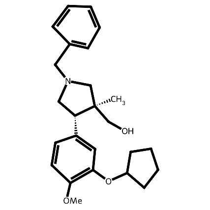 COc1ccc([C@@H]2CN(Cc3ccccc3)C[C@@]2(C)CO)cc1OC1CCCC1